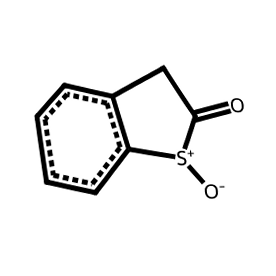 O=C1Cc2ccccc2[S+]1[O-]